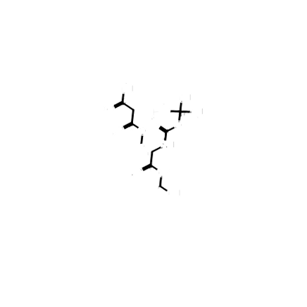 CCOC(=O)[C@H](COC(=O)CC(C)=O)NC(=O)OC(C)(C)C